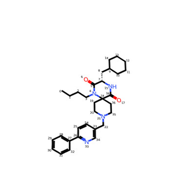 CCCCN1C(=O)[C@H](CC2CCCCC2)NC(=O)C12CCN(Cc1ccc(-c3ccccc3)nc1)CC2